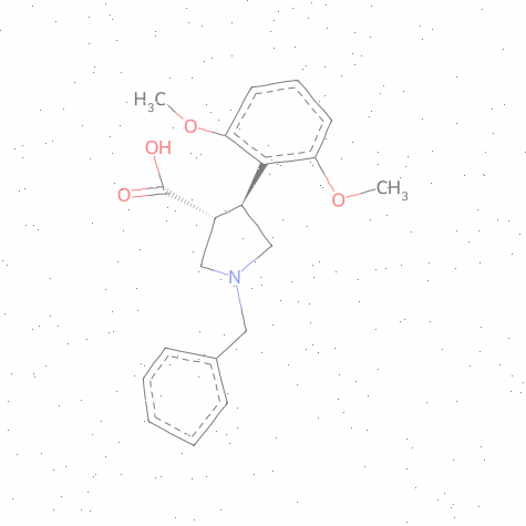 COc1cccc(OC)c1[C@H]1CN(Cc2ccccc2)C[C@@H]1C(=O)O